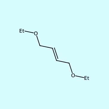 CCOCC=CCOCC